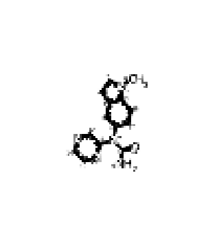 Cn1ccc2cc(N(C(N)=O)c3cnccn3)ccc21